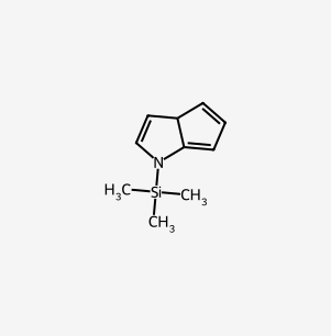 C[Si](C)(C)N1C=CC2C=CC=C21